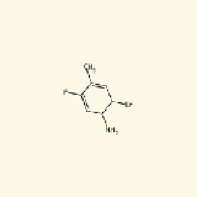 CC1=CC(Br)C(N)C=C1F